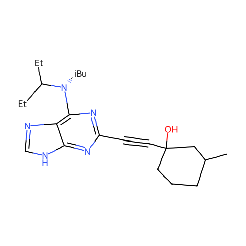 CCC(CC)N(c1nc(C#CC2(O)CCCC(C)C2)nc2[nH]cnc12)[C@@H](C)CC